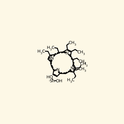 CCC1=C(CC)c2nc1c(CC)c1[nH]c(cc3nc(cc4c(CC)c(CC)c(c2CC)n4CC)C=C3)cc1CC.[OH][Sn][OH]